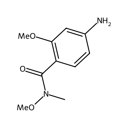 COc1cc(N)ccc1C(=O)N(C)OC